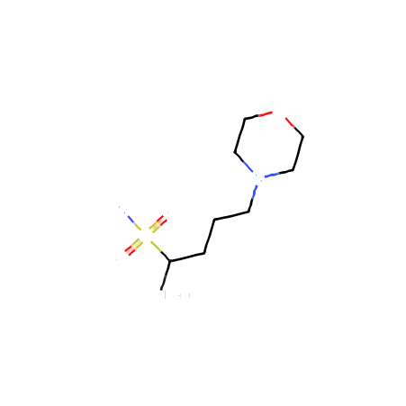 CCCCCC(CCCN1CCOCC1)S(N)(=O)=O